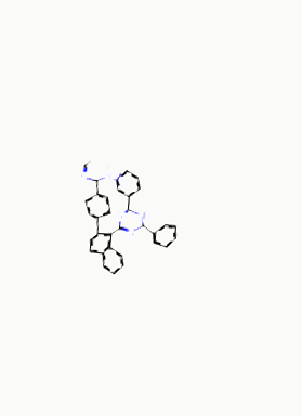 C/C=N\C(N)c1ccc(-c2ccc3ccccc3c2C2=NC(c3ccccc3)NC(c3ccccc3)=N2)cc1